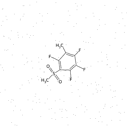 Cc1c(F)c(F)c(F)c(S(C)(=O)=O)c1F